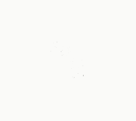 CCC(C)N(C#N)c1ccc(Cc2ccc(N(C#N)C(C)CC)cc2)cc1